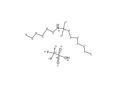 CCCCCCCC(C)(C)NCCCCCC.O=S(=O)(O)C(F)(F)F